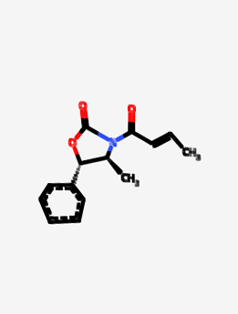 C/C=C/C(=O)N1C(=O)O[C@@H](c2ccccc2)[C@@H]1C